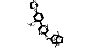 C[C@]12CC[C@](C)(CC(Sc3cnc(-c4ccc(-n5ccnc5)cc4O)cn3)C1)N2